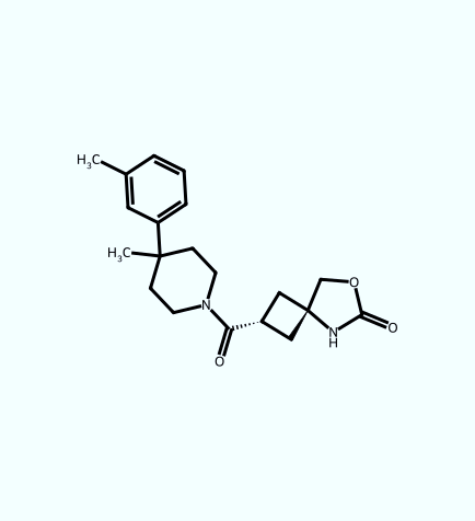 Cc1cccc(C2(C)CCN(C(=O)[C@H]3C[C@]4(COC(=O)N4)C3)CC2)c1